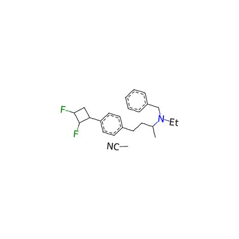 CC#N.CCN(Cc1ccccc1)C(C)CCc1ccc(C2CC(F)C2F)cc1